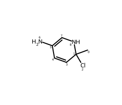 CC1(Cl)C=CC(N)=CN1